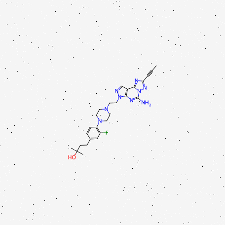 CC#Cc1nc2c3cnn(CCN4CCN(c5ccc(CCC(C)(C)O)cc5F)CC4)c3nc(N)n2n1